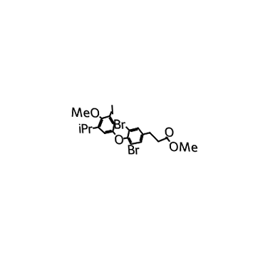 COC(=O)CCc1cc(Br)c(Oc2cc(I)c(OC)c(C(C)C)c2)c(Br)c1